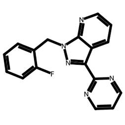 Fc1ccccc1Cn1nc(-c2ncccn2)c2cccnc21